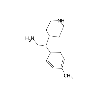 Cc1ccc(C(CN)C2CCNCC2)cc1